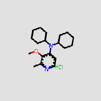 COc1c(N(C2CCCCC2)C2CCCCC2)ccnc1C.Cl